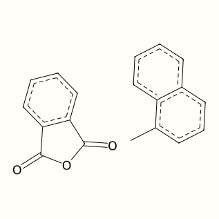 Cc1cccc2ccccc12.O=C1OC(=O)c2ccccc21